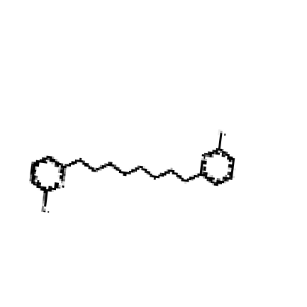 CCc1cccc(CCCCCCCCc2cccc(CC)n2)n1